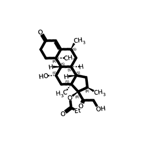 CCC(=O)O[C@]1(C(=O)CO)[C@H](C)C[C@H]2[C@@H]3C[C@H](C)C4=CC(=O)CC[C@]4(C)[C@H]3[C@@H](O)C[C@@]21C